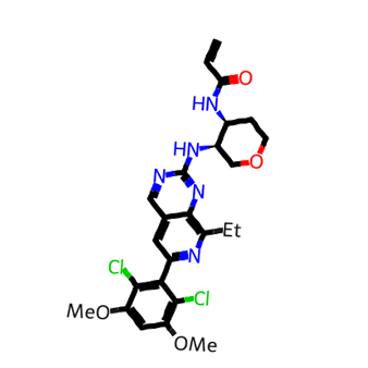 C=CC(=O)N[C@H]1CCOC[C@H]1Nc1ncc2cc(-c3c(Cl)c(OC)cc(OC)c3Cl)nc(CC)c2n1